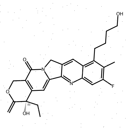 C=C1OCc2c(cc3n(c2=O)Cc2cc4c(CCCCO)c(C)c(F)cc4nc2-3)[C@@]1(O)CC